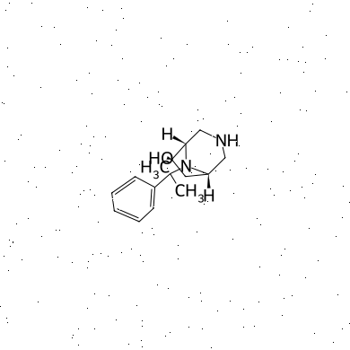 CC(C)(c1ccccc1)N1[C@@H]2CNC[C@H]1[C@H](O)C2